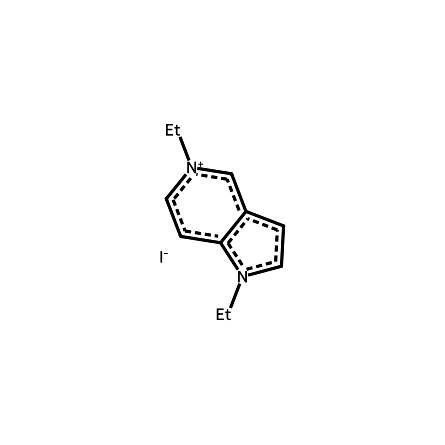 CCn1ccc2c[n+](CC)ccc21.[I-]